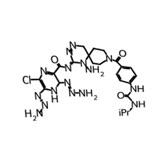 CC(C)NC(=O)Nc1ccc(C(=O)N2CCC3(CC2)CN=N/C(=N\C(=O)C2=NC(Cl)=C(N=NN)NC2N=NN)N3N)cc1